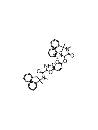 CN(C(=O)C(N)OC(=O)/C=C\C(=O)OC(N)C(=O)N(C)C(C)(Cc1ccccc1)c1ccccc1)C(C)(Cc1ccccc1)c1ccccc1